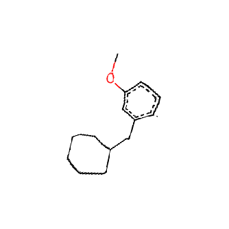 COc1cc[c]c(CC2CCCCC2)c1